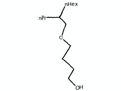 CCCCCCC(CCC)COCCCCO